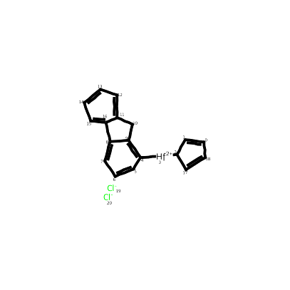 C1=C[CH]([Hf+2][c]2cccc3c2Cc2ccccc2-3)C=C1.[Cl-].[Cl-]